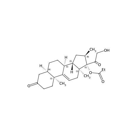 CCC(=O)O[C@@]1(C(=O)CO)[C@H](C)C[C@H]2[C@@H]3CC[C@@H]4CC(=O)CC[C@]4(C)C3=CC[C@@]21C